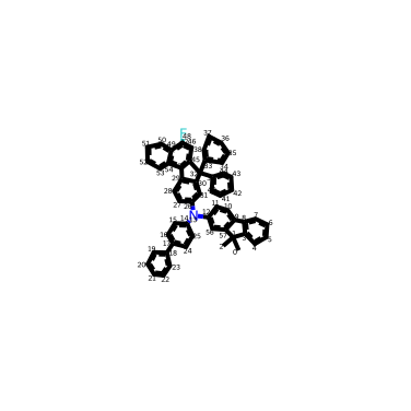 CC1(C)c2ccccc2-c2ccc(N(c3ccc(-c4ccccc4)cc3)c3ccc4c(c3)C(c3ccccc3)(c3ccccc3)c3cc(F)c5ccccc5c3-4)cc21